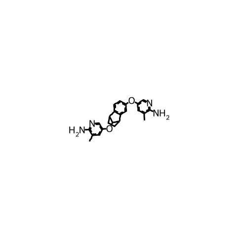 Cc1cc(Oc2ccc3c(c2)C2CCC3C2Oc2cnc(N)c(C)c2)cnc1N